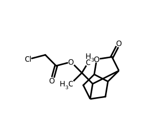 CC(C)(OC(=O)CCl)C1C2CC3OC(=O)C1C3C2